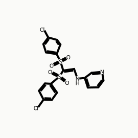 O=S(=O)(C(=CNc1cccnc1)S(=O)(=O)c1ccc(Cl)cc1)c1ccc(Cl)cc1